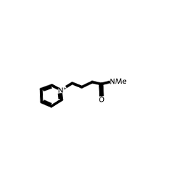 CNC(=O)CCC[n+]1ccccc1